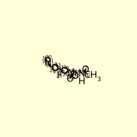 CC(=O)NC[C@H]1CN(c2ccc(-c3ccc(CN4CCCC4)cc3)c(F)c2)C(=O)O1